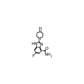 NC(=O)c1cc(F)cc2[nH]c(N3CCNCC3)nc12